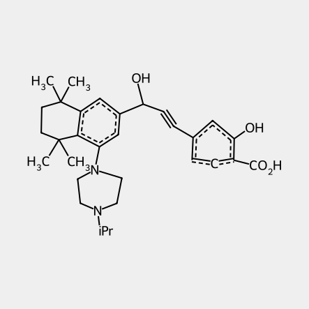 CC(C)N1CCN(c2cc(C(O)C#Cc3ccc(C(=O)O)c(O)c3)cc3c2C(C)(C)CCC3(C)C)CC1